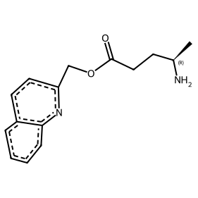 C[C@@H](N)CCC(=O)OCc1ccc2ccccc2n1